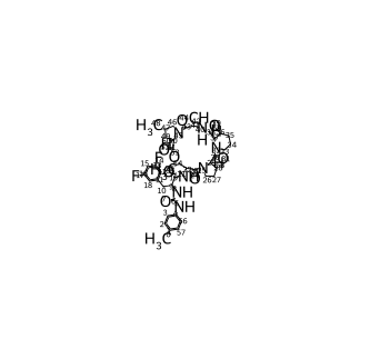 Cc1ccc(NC(=O)N[C@@H](Cc2cc(F)cc(F)c2)C(=O)N[C@@H]2C(=O)N3CCC[C@H]3C(=O)N3CCCC[C@H]3C(=O)N[C@@H](C)C(=O)N3C[C@@H](C)C[C@H]3C(=O)O[C@H]2C)cc1